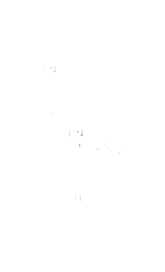 C=CCCC(=O)N[C@@H](CC(=O)O)Cc1cccc(C#N)c1